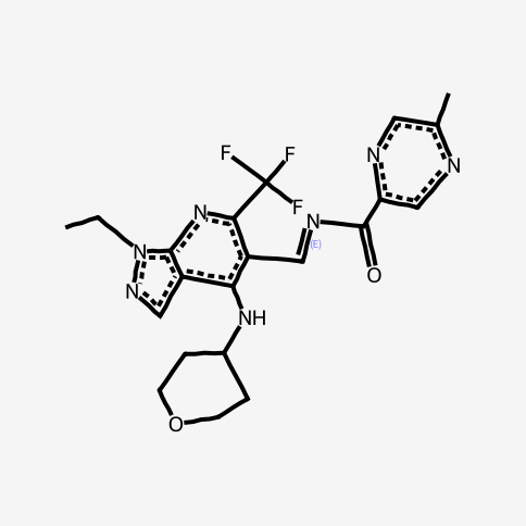 CCn1ncc2c(NC3CCOCC3)c(/C=N/C(=O)c3cnc(C)cn3)c(C(F)(F)F)nc21